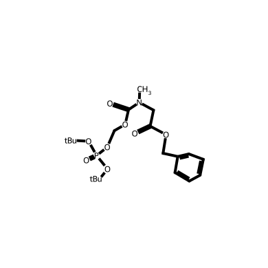 CN(CC(=O)OCc1ccccc1)C(=O)OCOP(=O)(OC(C)(C)C)OC(C)(C)C